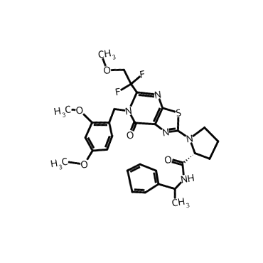 COCC(F)(F)c1nc2sc(N3CCC[C@@H]3C(=O)NC(C)c3ccccc3)nc2c(=O)n1Cc1ccc(OC)cc1OC